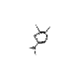 [CH2]c1ccc(N(C)C)cc1F